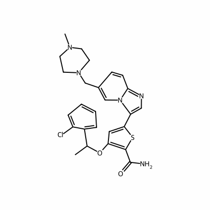 CC(Oc1cc(-c2cnc3ccc(CN4CCN(C)CC4)cn23)sc1C(N)=O)c1ccccc1Cl